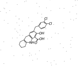 O=C(O)c1c(O)c(Cc2ccc(Cl)c(Cl)c2)cc2c1NC1=C(CCCC1)C2